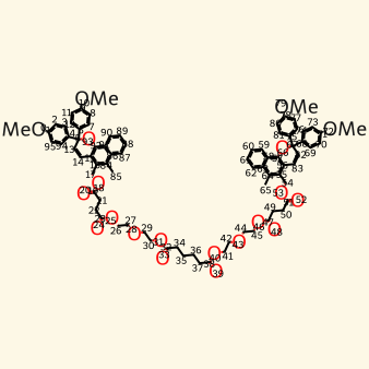 COc1ccc(C2(c3ccc(OC)cc3)C=Cc3c(COC(=O)CCC(=O)OCCOCCOC(=O)CCCCC(=O)OCCOCCOC(=O)CCC(=O)OCc4c5c(c6ccccc6c4C)OC(c4ccc(OC)cc4)(c4ccc(OC)cc4)C=C5)c(C)c4ccccc4c3O2)cc1